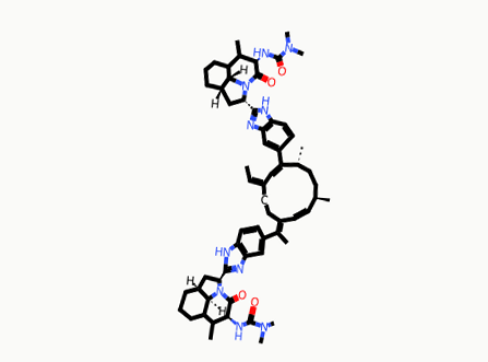 C/C=C1\C=C(\c2ccc3[nH]c([C@@H]4C[C@@H]5CCCC6C(C)[C@H](NC(=O)N(C)C)C(=O)N4[C@@H]65)nc3c2)[C@H](C)CC[C@@H](C)/C=C\C(=C(/C)c2ccc3[nH]c([C@@H]4C[C@@H]5CCCC6C(C)[C@H](NC(=O)N(C)C)C(=O)N4[C@@H]65)nc3c2)CC1